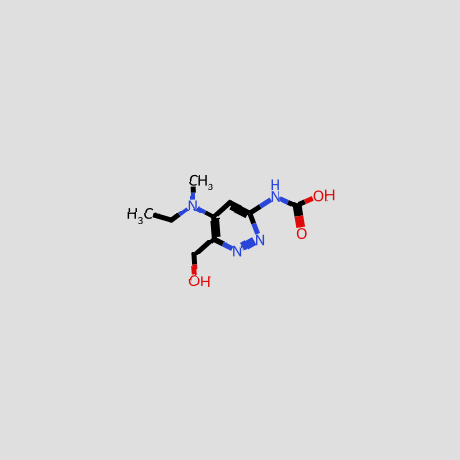 CCN(C)c1cc(NC(=O)O)nnc1CO